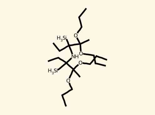 CCCOC(C)(OCCC)C([SiH3])(CC)NC([SiH3])(CC)C(C)(OCCC)OCCC